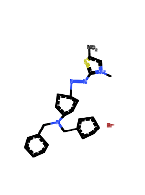 C[n+]1cc([N+](=O)[O-])sc1N=Nc1ccc(N(Cc2ccccc2)Cc2ccccc2)cc1.[Br-]